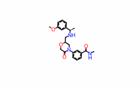 CNC(=O)c1cccc(N2CC(CN[C@H](C)c3cccc(OC)c3)OCC2=O)c1